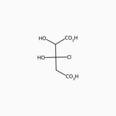 O=C(O)CC(O)(Cl)C(O)C(=O)O